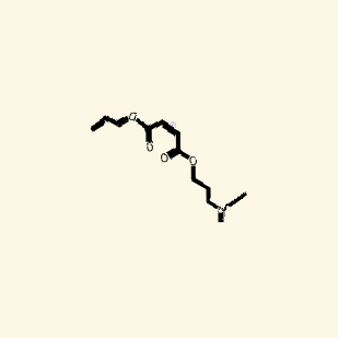 C=CCOC(=O)/C=C\C(=O)OCCCN(C)C